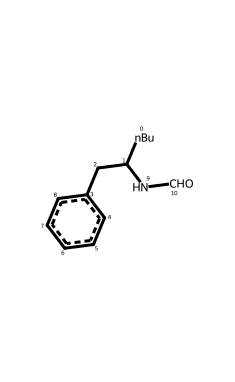 CCCCC(Cc1ccccc1)NC=O